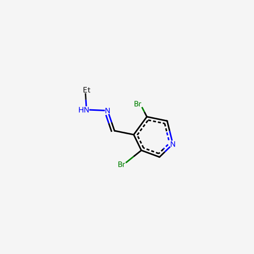 CCN/N=C/c1c(Br)cncc1Br